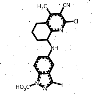 Cc1c(C#N)c(Cl)nc2c1CCCC2Nc1ccc2c(c1)c(I)nn2C(=O)O